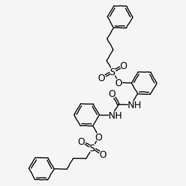 O=C(Nc1ccccc1OS(=O)(=O)CCCc1ccccc1)Nc1ccccc1OS(=O)(=O)CCCc1ccccc1